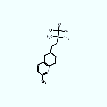 CC(C)(C)[Si](C)(C)OCC1CCc2nc(N)ccc2C1